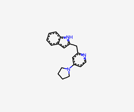 c1ccc2[nH]c(Cc3cc(N4CCCC4)ccn3)cc2c1